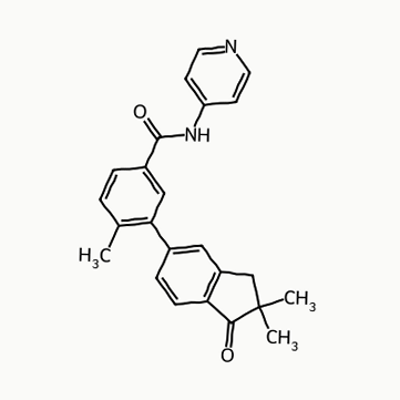 Cc1ccc(C(=O)Nc2ccncc2)cc1-c1ccc2c(c1)CC(C)(C)C2=O